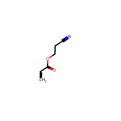 C=[C]C(=O)OCCC#N